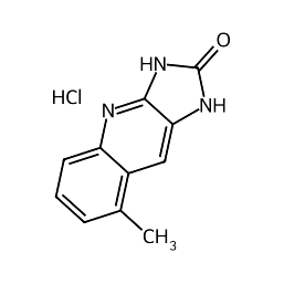 Cc1cccc2nc3[nH]c(=O)[nH]c3cc12.Cl